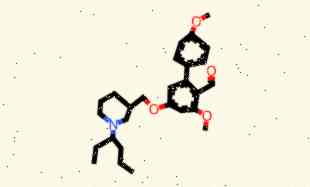 CCCC(CC)N1CCCC(COc2cc(OC)c(C=O)c(-c3ccc(OC)cc3)c2)C1